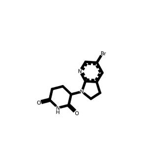 O=C1CCC(N2CCc3cc(Br)cnc32)C(=O)N1